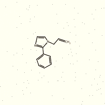 C=CCn1ccnc1-c1ccccc1